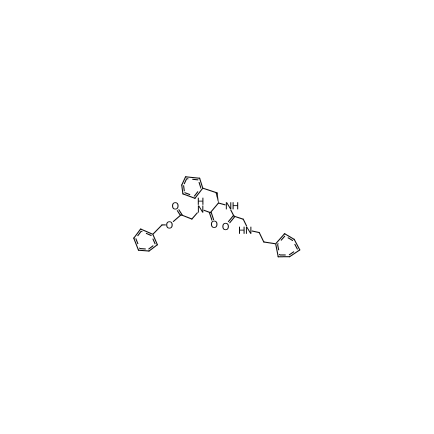 O=C(CNCCc1ccccc1)N[C@H](Cc1ccccc1)C(=O)NCC(=O)OCc1ccccc1